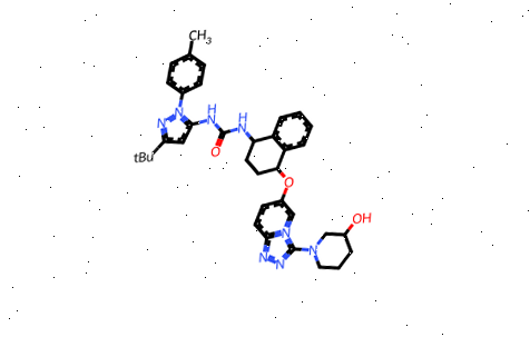 Cc1ccc(-n2nc(C(C)(C)C)cc2NC(=O)NC2CCC(Oc3ccc4nnc(N5CCCC(O)C5)n4c3)c3ccccc32)cc1